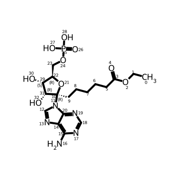 CCOC(=O)CCCCC[C@@]1(n2cnc3c(N)ncnc32)O[C@H](COP(=O)(O)O)[C@@H](O)[C@H]1O